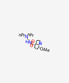 CCCN(CCC)CCNS(=O)(=O)c1ccc(OC)c2ncccc12